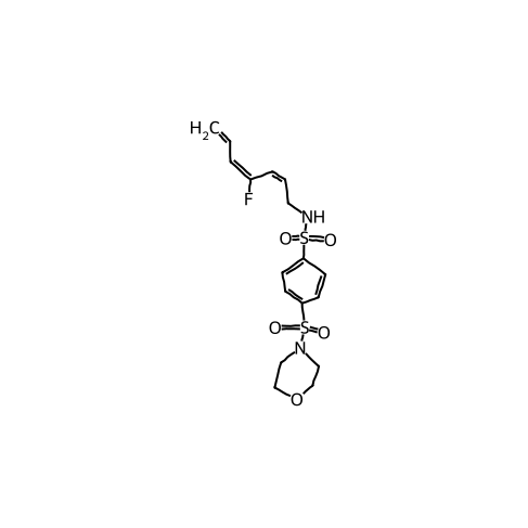 C=C/C=C(F)\C=C/CNS(=O)(=O)c1ccc(S(=O)(=O)N2CCOCC2)cc1